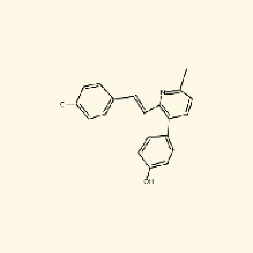 Cc1ccc(-c2ccc(O)cc2)c(C=Cc2ccc(Cl)cc2)n1